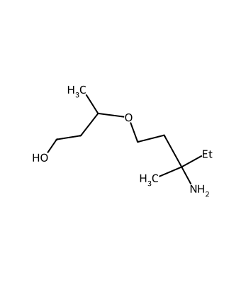 CCC(C)(N)CCOC(C)CCO